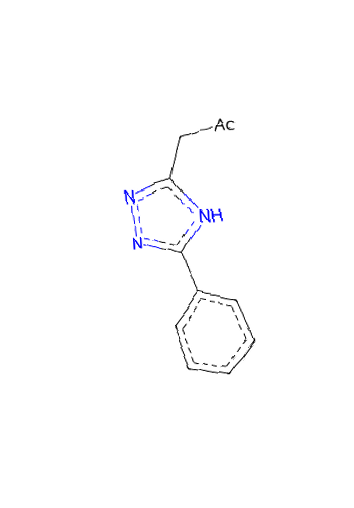 CC(=O)Cc1nnc(-c2ccccc2)[nH]1